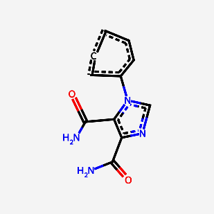 NC(=O)c1ncn(-c2ccccc2)c1C(N)=O